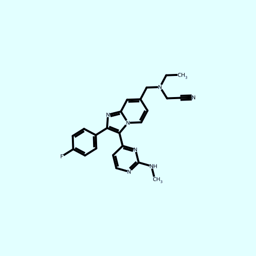 CCN(CC#N)Cc1ccn2c(-c3ccnc(NC)n3)c(-c3ccc(F)cc3)nc2c1